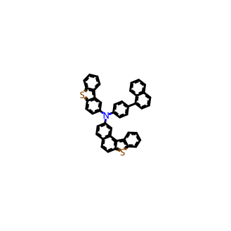 c1ccc2c(-c3ccc(N(c4ccc5sc6ccccc6c5c4)c4ccc5ccc6sc7ccccc7c6c5c4)cc3)cccc2c1